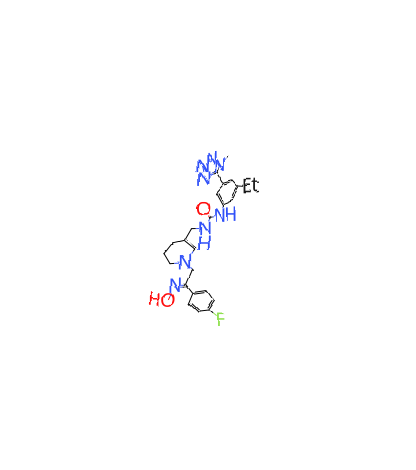 CCc1cc(NC(=O)NCC2CCCN(CC(=NO)c3ccc(F)cc3)C2)cc(-c2nnnn2C)c1